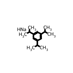 CC(C)c1[c]c(C(C)C)cc(C(C)C)c1.[NaH]